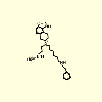 Br.Br.Br.CCCN(CCCCCCNCCc1ccccc1)[C@H]1CCc2c(ccc(O)c2NC)C1